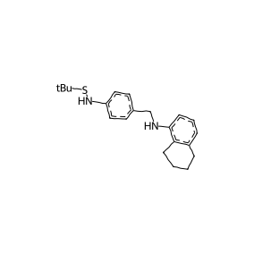 CC(C)(C)SNc1ccc(CNc2cccc3c2CCCC3)cc1